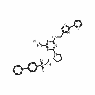 CCCCNc1nc(NCc2csc(-c3cccs3)n2)nc(N2CCC[C@@H]2CNS(=O)(=O)c2ccc(-c3ccccc3)cc2)n1